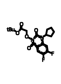 CC(C)(C)OC(=O)COn1c(=O)c2cc(F)c(F)cc2n(C2CCCC2)c1=O